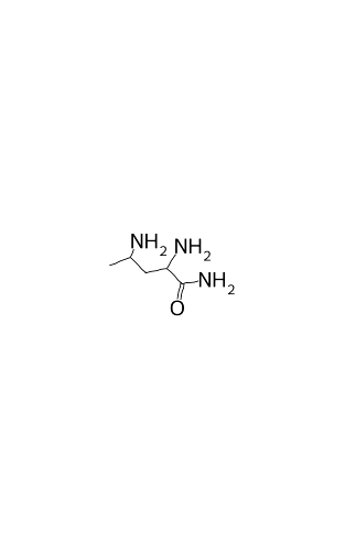 CC(N)CC(N)C(N)=O